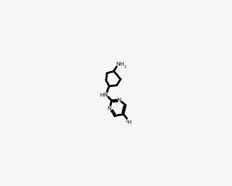 [2H]c1cnc(NC2CCC(N)CC2)nc1